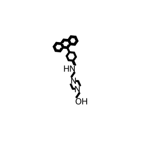 OCCN1CCN(CCNC=C2CCC(c3c4ccccc4cc4ccccc34)CC2)CC1